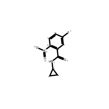 O=C(NC1CC1)c1cc(F)ccc1[N+](=O)[O-]